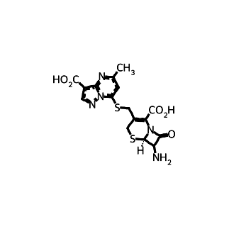 Cc1cc(SCC2=C(C(=O)O)N3C(=O)C(N)[C@H]3SC2)n2ncc(C(=O)O)c2n1